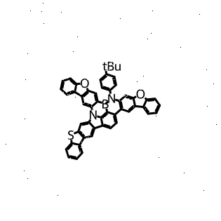 CC(C)(C)c1ccc(N2B3c4cc5oc6ccccc6c5cc4-n4c5cc6sc7ccccc7c6cc5c5ccc(c3c54)-c3cc4c(cc32)oc2ccccc24)cc1